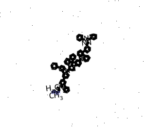 C=C(/C=C\C=C/C)n1c2ccccc2c2cc(-c3ccc4c(c3)c3cc(-c5ccccc5)ccc3n4-c3ccc4c(c3)C(c3ccccc3)(c3ccccc3)c3cc(-n5c6ccccc6c6c(-c7cccc(-c8nc(-c9ccccc9)nc(-c9ccccc9)n8)c7)cccc65)ccc3-4)ccc21